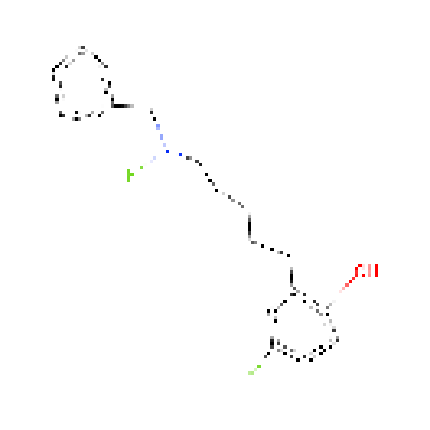 Oc1ccc(F)cc1CCCCCN(F)Cc1ccccc1